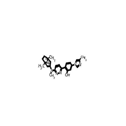 Cc1cn(-c2ccc(-c3ccc(N(C)C4C[C@]5(C)CC[C@](C)(C4)N5)nn3)c(O)c2)cn1